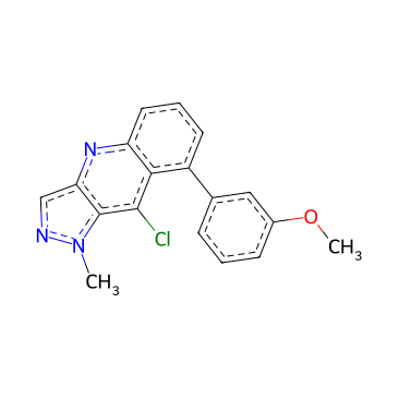 COc1cccc(-c2cccc3nc4cnn(C)c4c(Cl)c23)c1